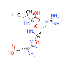 CCC(C)[C@H](NC(=O)N[C@@H](CCCNC(=N)N)c1nc([C@@H](N)CCC(=O)O)no1)C(=O)O